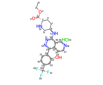 CCOC(=O)[C@@H]1CC[C@@H](Nc2nnc(-c3ccc(C(F)(F)F)cc3O)c3ccncc23)CN1.Cl